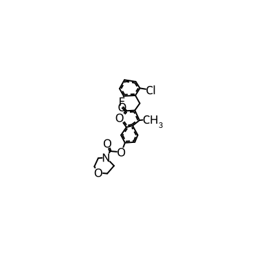 Cc1c(Cc2c(F)cccc2Cl)c(=O)oc2cc(OC(=O)N3CCOCC3)ccc12